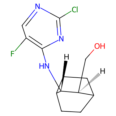 OC[C@H]1C2CCC(CC2)[C@@H]1Nc1nc(Cl)ncc1F